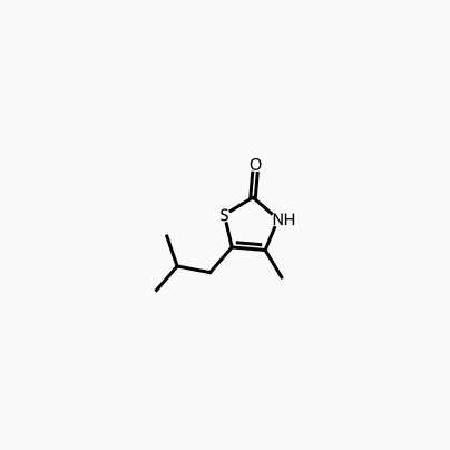 Cc1[nH]c(=O)sc1CC(C)C